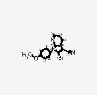 COc1ccc(-n2c(Br)c(C#N)c3cccnc32)cc1